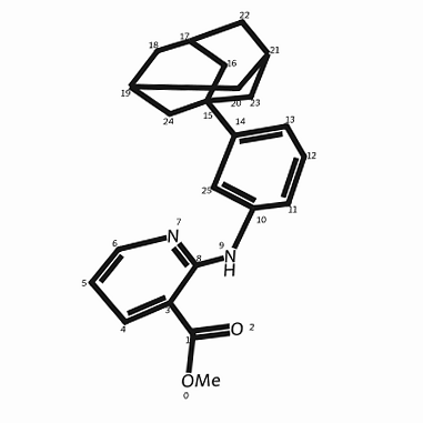 COC(=O)c1cccnc1Nc1cccc(C23CC4CC(CC(C4)C2)C3)c1